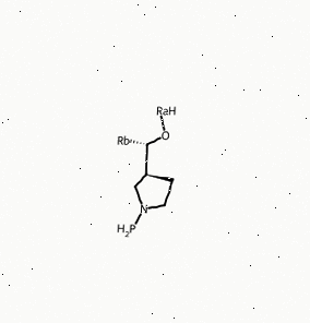 PN1CC[C@H]([C@H]([Rb])[O][RaH])C1